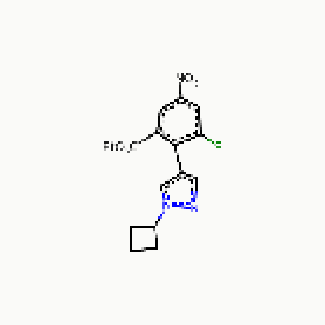 CCOC(=O)c1cc([N+](=O)[O-])cc(F)c1-c1cnn(C2CCC2)c1